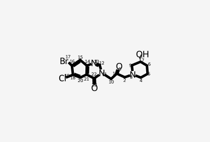 O=C(CN1CCC[C@@H](O)C1)Cn1cnc2cc(Br)c(Cl)cc2c1=O